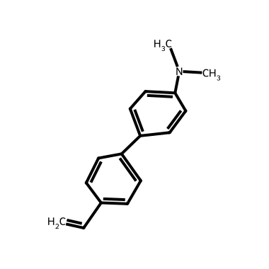 C=Cc1ccc(-c2ccc(N(C)C)cc2)cc1